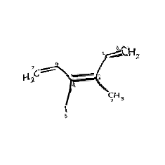 C=C/C(C)=C(/I)C=C